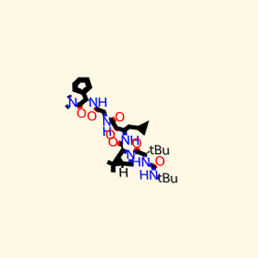 CN(C)C(=O)[C@@H](NC(=O)CNC(=O)C(=O)C(CC1CC1)NC(=O)[C@@H]1C2[C@H](CN1C(=O)[C@@H](NC(=O)NC(C)(C)C)C(C)(C)C)C2(C)C)c1ccccc1